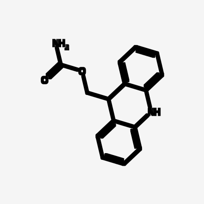 NC(=O)OCC1c2ccccc2Nc2ccccc21